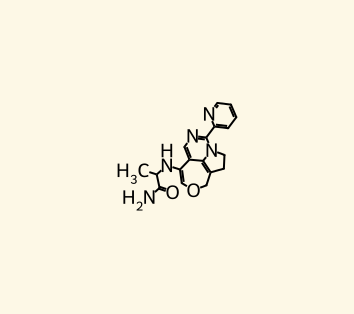 CC(NC1=COCC2=C3C1=CN=C(c1ccccn1)N3CC2)C(N)=O